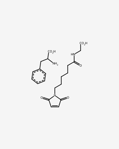 NC(Cc1ccccc1)C(=O)O.O=C(O)CNC(=O)CCCCCN1C(=O)C=CC1=O